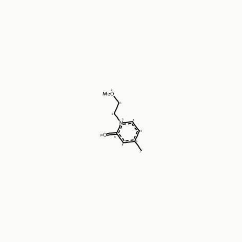 COCCn1ccc(C)cc1=O